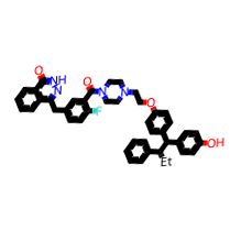 CCC(c1ccccc1)C(c1ccc(O)cc1)c1ccc(OCCN2CCN(C(=O)c3cc(Cc4n[nH]c(=O)c5ccccc45)ccc3F)CC2)cc1